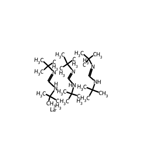 CC(C)(C)N=CNC(C)(C)C.CC(C)(C)N=CNC(C)(C)C.CC(C)(C)N=CNC(C)(C)C.[La]